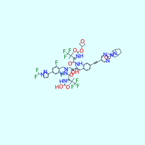 CC(C)([C@H](NC(=O)O)C(=O)NN(Cc1c(F)cc(-c2ccn(C(F)F)n2)cc1F)C[C@H](O)[C@H](Cc1ccc(C#Cc2cnc(N3CC4CCC(C3)N4C3COC3)nc2)cc1)NC(=O)[C@@H](NC(=O)OC1COC1)C(C)(C)C(F)(F)F)C(F)(F)F